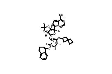 C[C@H](NP(=O)(OC[C@H]1O[C@@](C#N)(c2ccc3c(N)ncnn23)[C@@H]2OC(C)(C)O[C@@H]21)Oc1cccc2ccccc12)C(=O)OC1CC2(CCC2)C1